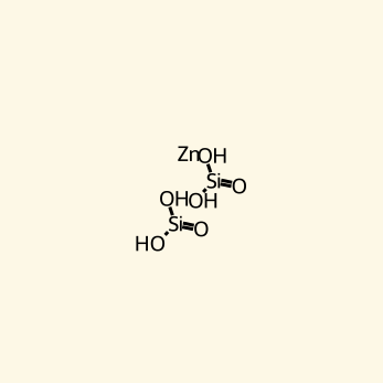 O=[Si](O)O.O=[Si](O)O.[Zn]